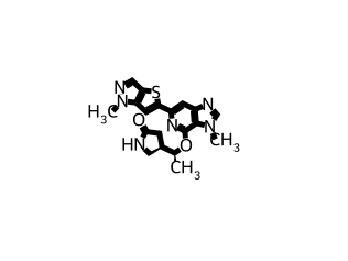 C[C@@H](Oc1nc(-c2cc3c(cnn3C)s2)cc2ncn(C)c12)[C@H]1CNC(=O)C1